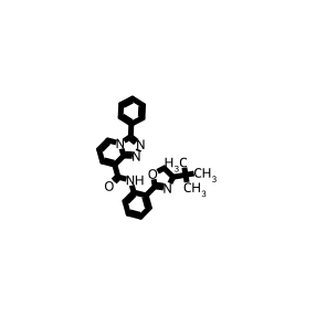 CC(C)(C)C1COC(c2ccccc2NC(=O)c2cccn3c(-c4ccccc4)nnc23)=N1